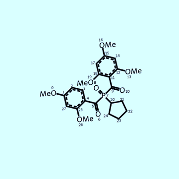 COc1ccc(C(=O)P(=O)(C(=O)c2c(OC)cc(OC)cc2OC)C2CCCC2)c(OC)c1